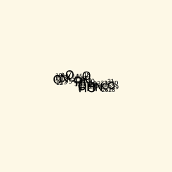 COc1cc(CC(=O)N2CCOCC2)ccc1C(=O)NC[C@@H](O)CNC1Cc2ccccc2C1